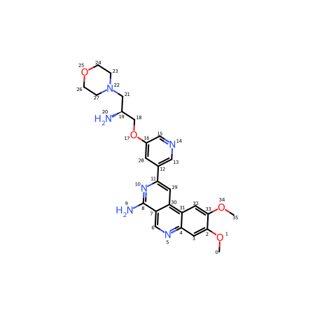 COc1cc2ncc3c(N)nc(-c4cncc(OC[C@@H](N)CN5CCOCC5)c4)cc3c2cc1OC